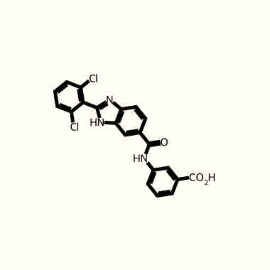 O=C(O)c1cccc(NC(=O)c2ccc3nc(-c4c(Cl)cccc4Cl)[nH]c3c2)c1